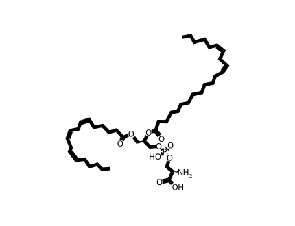 CCCCC/C=C\C/C=C\C/C=C\CCCCC(=O)OC[C@H](COP(=O)(O)OC[C@H](N)C(=O)O)OC(=O)CCCCCCCCCCC/C=C\C/C=C\CCCCC